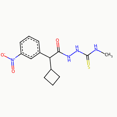 CNC(=S)NNC(=O)C(c1cccc([N+](=O)[O-])c1)C1CCC1